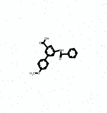 COc1ccc(-c2cc(NC(=O)c3ccccc3)cc(C(=O)O)c2)cc1